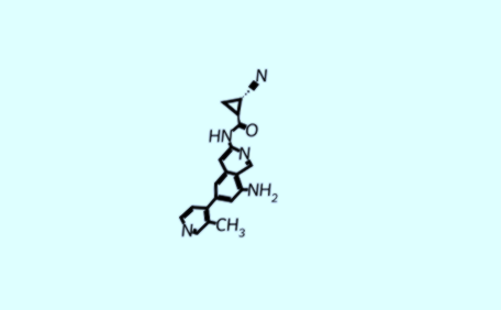 Cc1cnccc1-c1cc(N)c2cnc(NC(=O)[C@H]3C[C@@H]3C#N)cc2c1